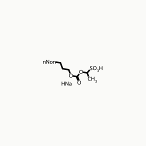 CCCCCCCCCCCCOC(=O)OC(C)S(=O)(=O)O.[NaH]